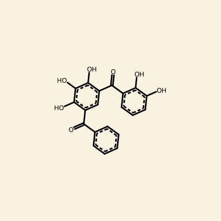 O=C(c1ccccc1)c1cc(C(=O)c2cccc(O)c2O)c(O)c(O)c1O